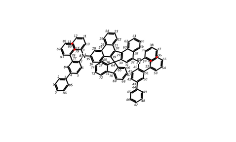 c1ccc(-c2ccc(N(c3ccccc3)c3ccc4c5c(c6ccccc6c4c3)-c3c(cc(N(c4ccccc4)c4ccc(-c6ccccc6)cc4-c4ccccc4)c4ccccc34)C53c4ccccc4-c4ccccc43)c(-c3ccccc3)c2)cc1